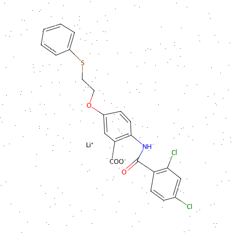 O=C(Nc1ccc(OCCSc2ccccc2)cc1C(=O)[O-])c1ccc(Cl)cc1Cl.[Li+]